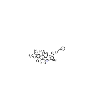 COc1c(C)cnc(CN2C(=O)/C(=C/c3cc(C(=O)COCCN4CCCC4)c[nH]3)c3c(Cl)nc(N)nc32)c1C